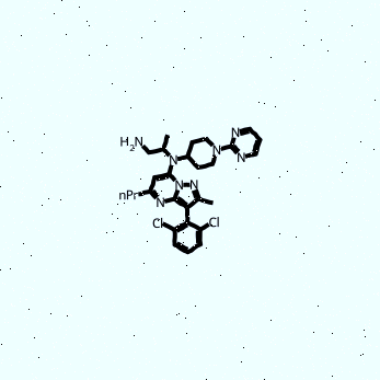 CCCc1cc(N(C(C)CN)C2CCN(c3ncccn3)CC2)n2nc(C)c(-c3c(Cl)cccc3Cl)c2n1